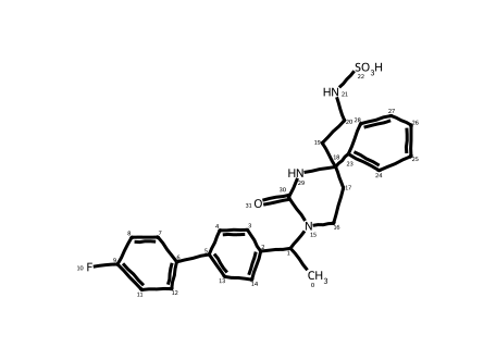 CC(c1ccc(-c2ccc(F)cc2)cc1)N1CCC(CCNS(=O)(=O)O)(c2ccccc2)NC1=O